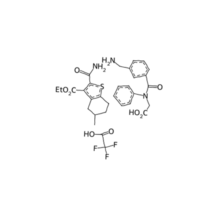 CCOC(=O)c1c(C(N)=O)sc2c1CC(C)CC2.NCc1cccc(C(=O)N(CC(=O)O)c2ccccc2)c1.O=C(O)C(F)(F)F